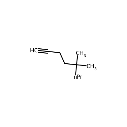 C#CCCC(C)(C)CC[CH2]